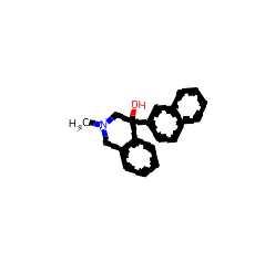 CN1Cc2ccccc2C(O)(c2ccc3ccccc3c2)C1